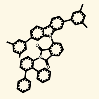 Cc1cc(C)cc(-c2ccc3c4ccc(-c5cc(C)cc(C)c5)cc4n(-c4cccc5c4C(=O)N(c4cccc(-c6ccccc6)c4-c4ccccc4)C5=O)c3c2)c1